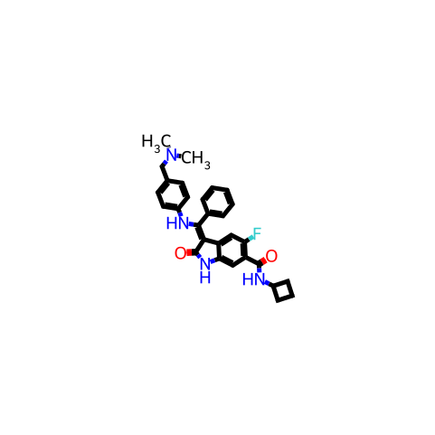 CN(C)Cc1ccc(N/C(=C2\C(=O)Nc3cc(C(=O)NC4CCC4)c(F)cc32)c2ccccc2)cc1